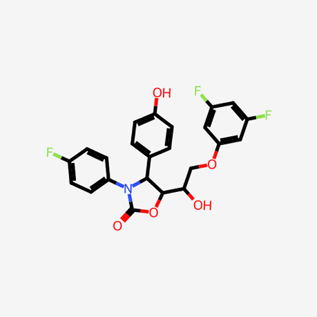 O=C1OC(C(O)COc2cc(F)cc(F)c2)C(c2ccc(O)cc2)N1c1ccc(F)cc1